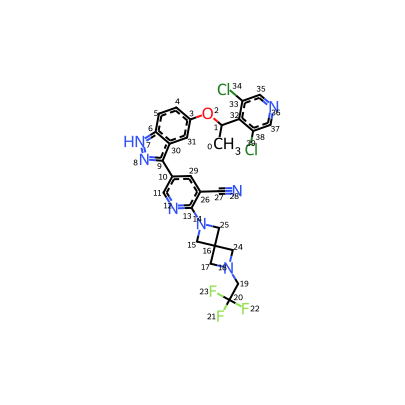 CC(Oc1ccc2[nH]nc(-c3cnc(N4CC5(CN(CC(F)(F)F)C5)C4)c(C#N)c3)c2c1)c1c(Cl)cncc1Cl